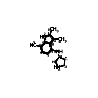 Cc1[nH]c2c(C#N)ccc(N[C@@H]3CCNC3)c2c1C